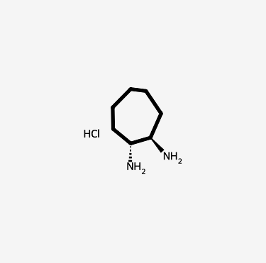 Cl.N[C@@H]1CCCCC[C@H]1N